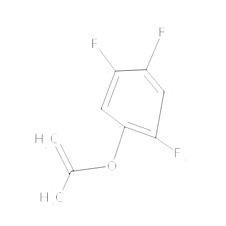 C=C(C)Oc1cc(F)c(F)cc1F